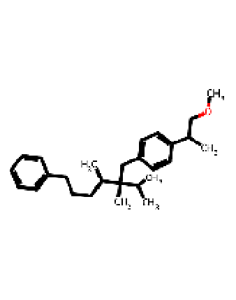 COCC(C)c1ccc(CC(C)([C](C)CCCc2ccccc2)C(C)C)cc1